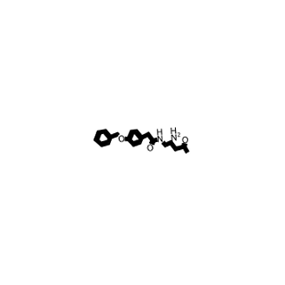 CC(=O)C[C@@H](N)CNC(=O)Cc1ccc(OCc2ccccc2)cc1